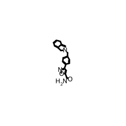 NC(=O)c1cc(-c2ccc(CN3C=C4CC=CC=C4C3)cc2)no1